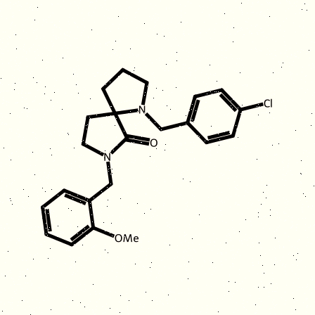 COc1ccccc1CN1CCC2(CCCN2Cc2ccc(Cl)cc2)C1=O